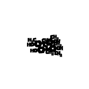 Cc1cc(C(C)(CCC(C)(c2ccc(O)cc2)c2cc(C)c(O)c(C)c2)c2ccc(O)c(C)c2)ccc1O